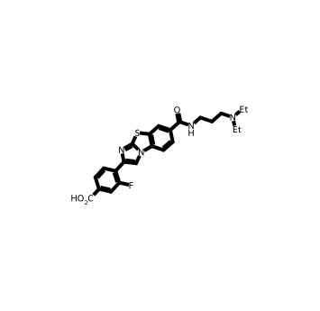 CCN(CC)CCCNC(=O)c1ccc2c(c1)sc1nc(-c3ccc(C(=O)O)cc3F)cn12